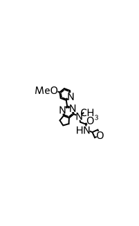 COc1ccnc(-c2nc3c(c(N(C)CC(=O)NC4COC4)n2)CCC3)c1